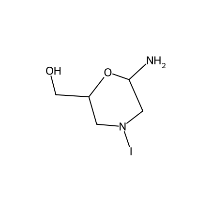 NC1CN(I)CC(CO)O1